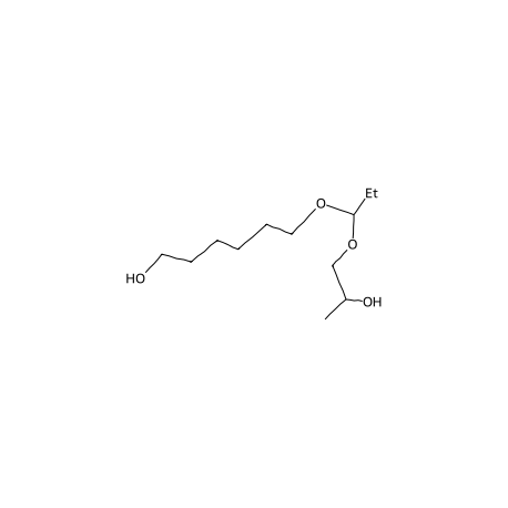 CCC(OCCCCCCO)OCC(C)O